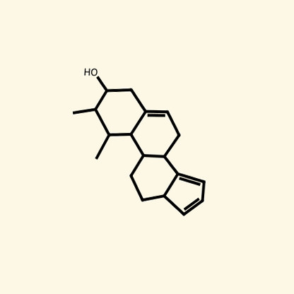 CC1C(O)CC2=CCC3C4=CC=CC4CCC3C2C1C